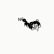 Cc1ccc(C(=O)N(Cc2cncn2Cc2ccc(C#N)cc2)c2ccc(N3CCN(C(=O)c4ccc(Cl)s4)CC3)cc2)cc1C